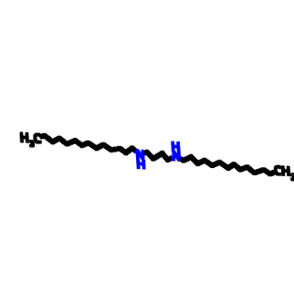 CCCCCCCCCCCCCCNCCCCNCCCCCCCCCCCCCC